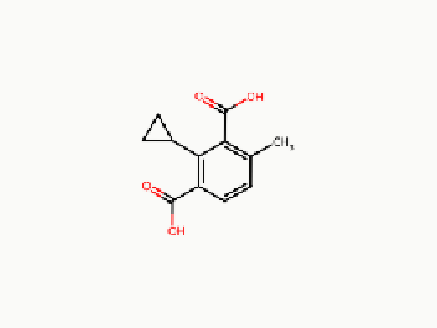 Cc1ccc(C(=O)O)c(C2CC2)c1C(=O)O